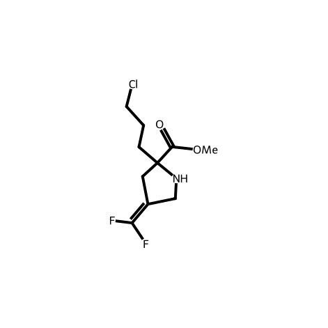 COC(=O)C1(CCCCl)CC(=C(F)F)CN1